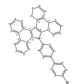 Brc1ccc(-c2ccc(-n3c4c(c5c6ccccc6c6ccccc6c53)C3=C(C=CCC3)C3C=CC=CC43)cc2)cc1